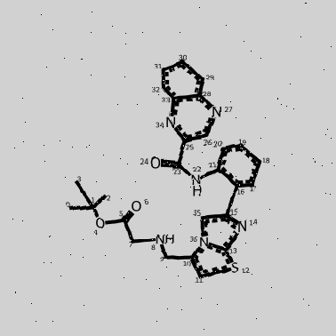 CC(C)(C)OC(=O)CNCc1csc2nc(-c3ccccc3NC(=O)c3cnc4ccccc4n3)cn12